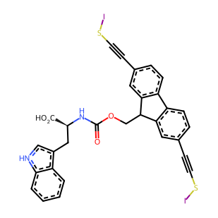 O=C(N[C@@H](Cc1c[nH]c2ccccc12)C(=O)O)OCC1c2cc(C#CSI)ccc2-c2ccc(C#CSI)cc21